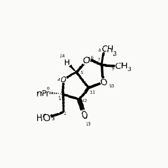 CCC[C@]1(CO)O[C@@H]2OC(C)(C)OC2C1=O